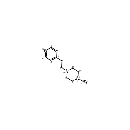 CC(C)N1CCN(CCc2ccncc2)CC1